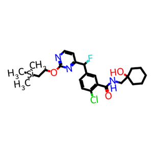 C[Si](C)(C)CCOc1nccc(C(F)c2ccc(Cl)c(C(=O)NCC3(O)CCCCC3)c2)n1